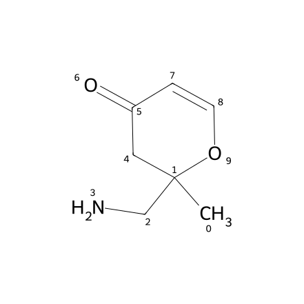 CC1(CN)CC(=O)C=CO1